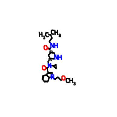 COCCCN1C=C(C(=O)N(C[C@H]2CNC[C@@H](C(=O)NCCC(C)C)C2)C2CC2)C2C=CC=CC21